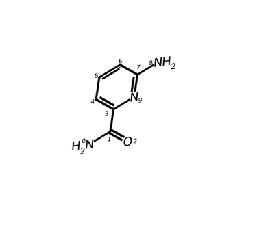 NC(=O)c1cc[c]c(N)n1